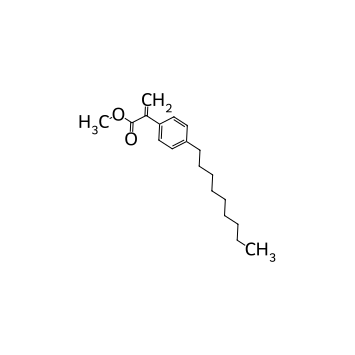 C=C(C(=O)OC)c1ccc(CCCCCCCCC)cc1